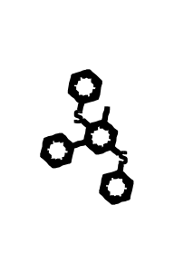 Cc1cc(Sc2ccccc2)cc(-c2ccccc2)c1Sc1ccccc1